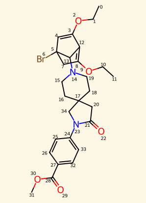 CCOC1=CC2(Br)CC(OCC)=C1C2N1CCC2(CC1)CC(=O)N(c1ccc(C(=O)OC)cc1)C2